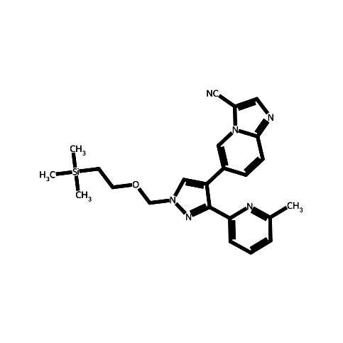 Cc1cccc(-c2nn(COCC[Si](C)(C)C)cc2-c2ccc3ncc(C#N)n3c2)n1